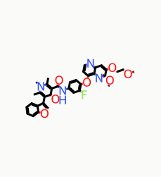 COCCOc1cc2nccc(Oc3ccc(NC(=O)c4c(C)n(C)c(C)c(-c5coc6ccccc56)c4=O)cc3F)c2nc1OC